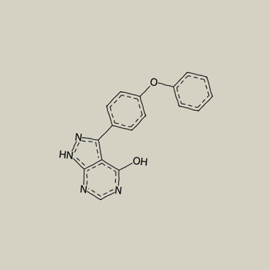 Oc1ncnc2[nH]nc(-c3ccc(Oc4ccccc4)cc3)c12